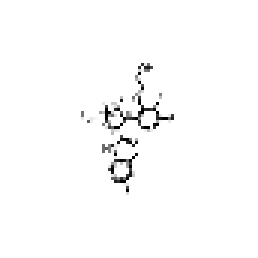 Cc1ncc(NC(=O)[C@@H]2O[C@@](C)(C(F)(F)F)[C@@H](C)[C@H]2c2ccc(F)c(F)c2OCCO)c(C)n1